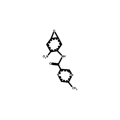 Cc1cnc(C(=O)Nc2cc3c(cc2[N+](=O)[O-])O3)cn1